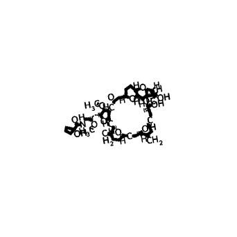 C=C1C[C@@H]2CC[C@@]3(O)C[C@@H](O)[C@@H]4C[C@@H]5C4O[C@H]4CC[C@H](CC(=O)C[C@@H]6[C@@H](OC)[C@@H](C[C@@H](CNC(=O)C7(O)CCC7)OC)O[C@H]6C[C@H]6O[C@H](CCC6=C)CC[C@@H]1O2)O[C@@H]4[C@@H]5O3